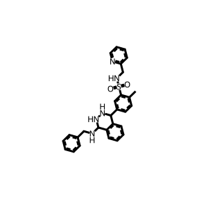 Cc1ccc(C2NNC(NCc3ccccc3)c3ccccc32)cc1S(=O)(=O)NCc1ccccn1